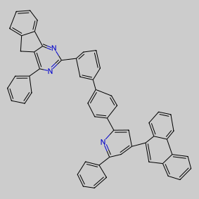 c1ccc(-c2cc(-c3cc4ccccc4c4ccccc34)cc(-c3ccc(-c4cccc(-c5nc(-c6ccccc6)c6c(n5)-c5ccccc5C6)c4)cc3)n2)cc1